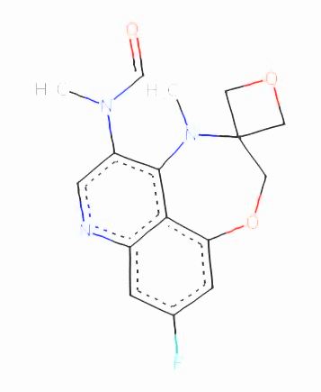 CN(C=O)c1cnc2cc(F)cc3c2c1N(C)C1(COC1)CO3